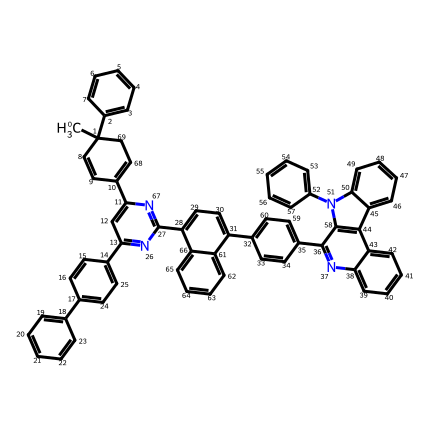 CC1(c2ccccc2)C=CC(c2cc(-c3ccc(-c4ccccc4)cc3)nc(-c3ccc(-c4ccc(-c5nc6ccccc6c6c7ccccc7n(-c7ccccc7)c56)cc4)c4ccccc34)n2)=CC1